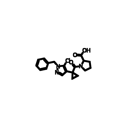 O=C(O)C1CCCN1C(=O)C1(c2cnn(Cc3ccccc3)c2Cl)CC1